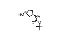 CC(C)(C)OC(=O)NC1CC[C@@H](O)C1